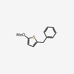 COc1ccc(Cc2c[c]ccc2)s1